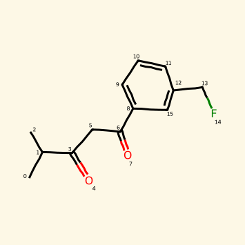 CC(C)C(=O)CC(=O)c1cccc(CF)c1